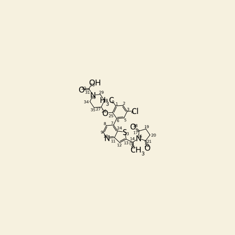 Cc1cc(Cl)cc(-c2ccnc3cc([C@H](C)N4C(=O)CCC4=O)sc23)c1OC1CCN(C(=O)O)CC1